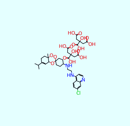 CC(C)C1=CC2OC3(CCC(NCCNc4ccnc5cc(Cl)ccc45)CC3)OOC2(C)CC1.O=C(O)CC(O)(CC(=O)O)C(=O)O.O=C(O)CC(O)(CC(=O)O)C(=O)O